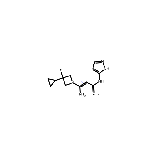 C=C(/C=C(\N)N1CC(F)(C2CC2)C1)Nc1ncn[nH]1